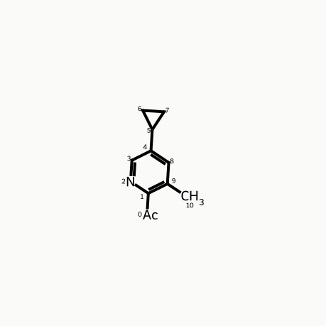 CC(=O)c1ncc(C2CC2)cc1C